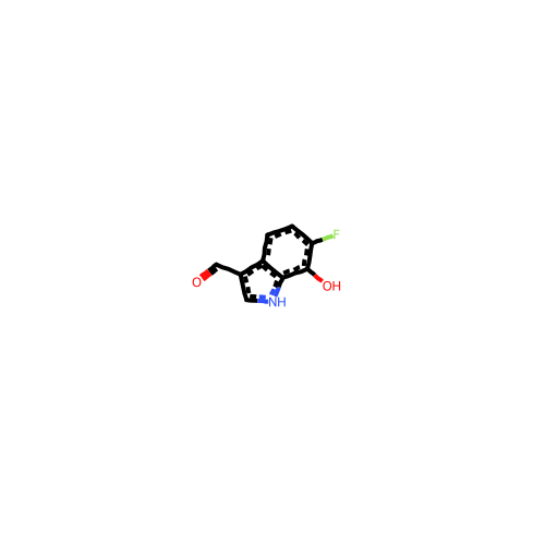 O=Cc1c[nH]c2c(O)c(F)ccc12